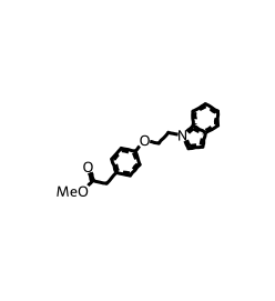 COC(=O)Cc1ccc(OCCn2ccc3ccccc32)cc1